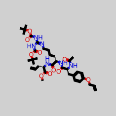 C=CCOc1ccc(C[C@H](NC(C)=O)C(=O)N[C@@H](CCCCN=C(NC(=O)OC(C)(C)C)NC(=O)OC(C)(C)C)C(=O)N[C@@H](CC=C)C(=O)OC)cc1